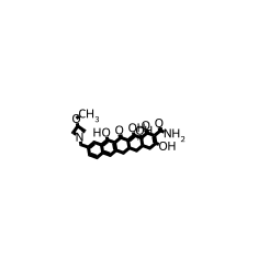 COC1CN(Cc2ccc3cc4c(c(O)c3c2)C(=O)C2=C(O)[C@]3(O)C(=O)C(C(N)=O)=C(O)CC3CC2C4)C1